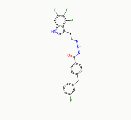 O=C(N=[N+]=NCCc1c[nH]c2cc(F)c(F)c(F)c12)c1ccc(Cc2cccc(F)c2)cc1